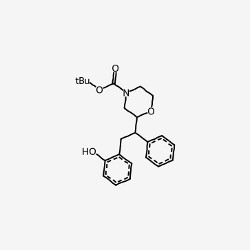 CC(C)(C)OC(=O)N1CCOC(C(Cc2ccccc2O)c2ccccc2)C1